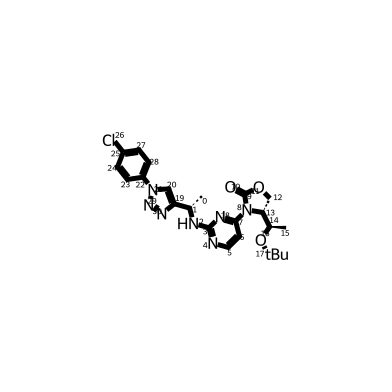 C[C@H](Nc1nccc(N2C(=O)OC[C@@H]2[C@@H](C)OC(C)(C)C)n1)c1cn(-c2ccc(Cl)cc2)nn1